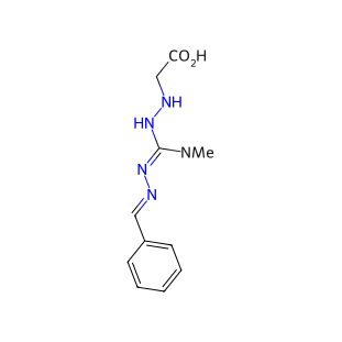 CN/C(=N\N=C\c1ccccc1)NNCC(=O)O